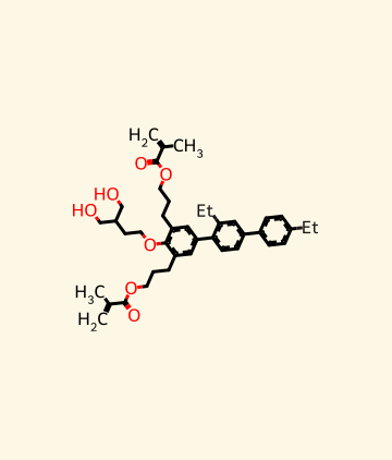 C=C(C)C(=O)OCCCc1cc(-c2ccc(-c3ccc(CC)cc3)cc2CC)cc(CCCOC(=O)C(=C)C)c1OCCC(CO)CO